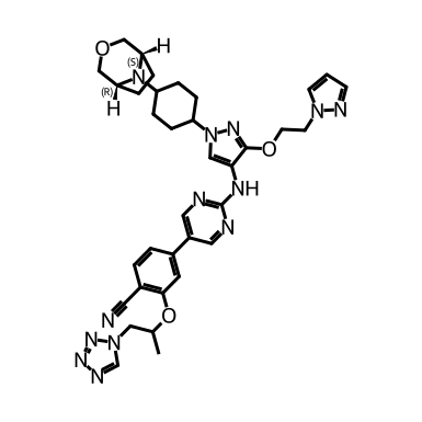 CC(Cn1cnnn1)Oc1cc(-c2cnc(Nc3cn(C4CCC(N5[C@@H]6CC[C@H]5COC6)CC4)nc3OCCn3cccn3)nc2)ccc1C#N